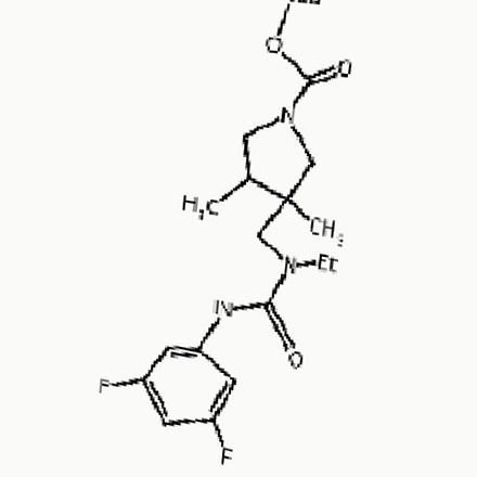 CCN(CC1(C)CN(C(=O)OC(C)(C)C)CC1C)C(=O)Nc1cc(F)cc(F)c1